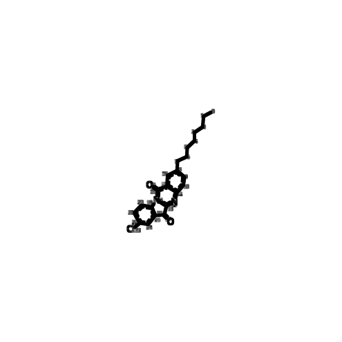 CCCCCCCCc1ccc2nc3n(c(=O)c2c1)-c1ccc(Cl)cc1C3=O